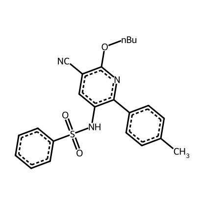 CCCCOc1nc(-c2ccc(C)cc2)c(NS(=O)(=O)c2ccccc2)cc1C#N